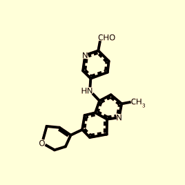 Cc1cc(Nc2ccc(C=O)nc2)c2cc(C3=CCOCC3)ccc2n1